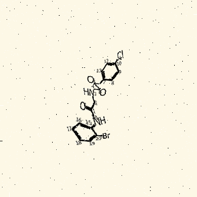 O=C(CNS(=O)(=O)c1ccc(Cl)cc1)Nc1ccccc1Br